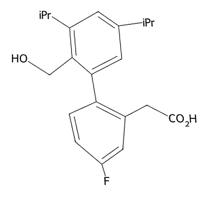 CC(C)c1cc(-c2ccc(F)cc2CC(=O)O)c(CO)c(C(C)C)c1